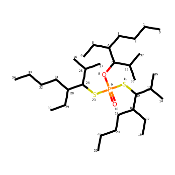 CCCCC(CC)C(OP(=O)(SC(C(C)C)C(CC)CCCC)SC(C(C)C)C(CC)CCCC)C(C)C